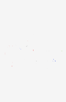 CCC(=O)N(C(=O)OC(C)(C)C)C(CCC(=O)c1ccc(F)nc1F)C(=O)O